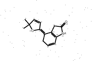 CC1(C)C=C/C(=C2/CC=CC3=C2CC(=O)N3)O1